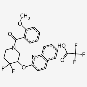 COc1ccccc1C(=O)N1CCC(F)(F)C(Oc2ccc3ccccc3n2)C1.O=C(O)C(F)(F)F